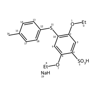 CCOc1cc(S(=O)(=O)O)c(OCC)cc1Sc1ccc(C)cc1.[NaH]